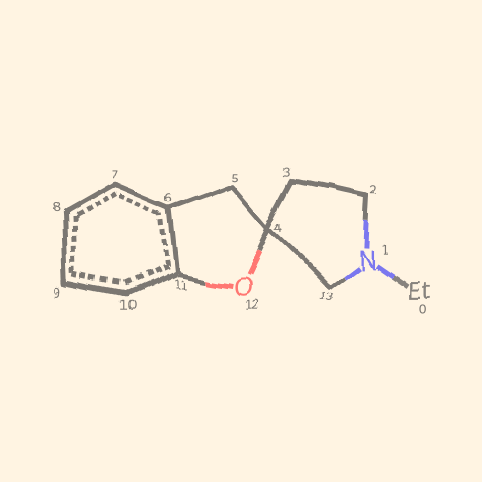 CCN1CCC2(Cc3ccccc3O2)C1